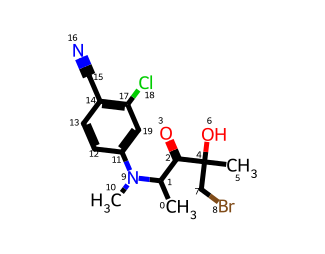 CC(C(=O)C(C)(O)CBr)N(C)c1ccc(C#N)c(Cl)c1